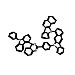 c1ccc(-n2c3ccccc3c3c(-c4nc(-c5ccc(-n6c7ccccc7c7cc8cccc(-n9c%10ccccc%10c%10ccc%11ccccc%11c%109)c8cc76)cc5)nc5ccccc45)cccc32)cc1